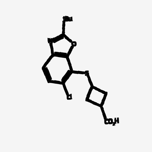 CC(C)(C)c1nc2ccc(Cl)c(SC3CC(C(=O)O)C3)c2o1